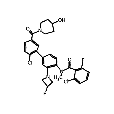 CN(C(=O)c1c(F)cccc1Cl)c1ccc(-c2cc(C(=O)N3CCC(O)CC3)ccc2Cl)cc1N1CC(F)C1